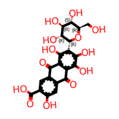 O=C(O)c1cc2c(cc1O)C(=O)c1c(O)c(O)c([C@H]3O[C@H](CO)[C@@H](O)[C@H](O)[C@H]3O)c(O)c1C2=O